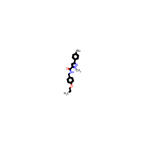 C=CCOc1ccc(CNC(=O)c2cc(-c3ccc(C(C)(C)C)cc3)nn2C)cc1